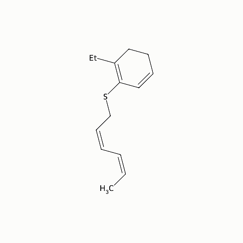 C/C=C\C=C/CSC1=C(CC)CCC=C1